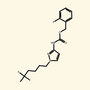 CC(F)(F)CCCCn1ccc(NC(=O)OCc2ccccc2F)n1